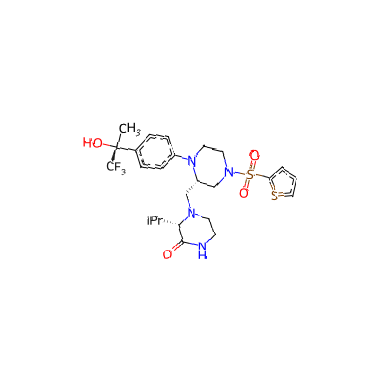 CC(C)[C@H]1C(=O)NCCN1C[C@H]1CN(S(=O)(=O)c2cccs2)CCN1c1ccc([C@@](C)(O)C(F)(F)F)cc1